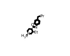 CC[C@H]1CN(C)CC[C@@H]1c1nc2ccc(CC(C)C)cc2o1